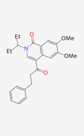 CCC(CC)n1cc(C(=O)CCc2ccccc2)c2cc(OC)c(OC)cc2c1=O